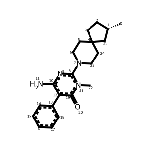 C[C@H]1CCC2(CCN(c3nc(N)c(-c4ccccc4)c(=O)n3C)CC2)C1